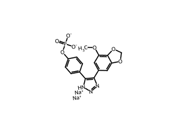 COc1cc(-c2nn[nH]c2-c2ccc(OP(=O)([O-])[O-])cc2)cc2c1OCO2.[Na+].[Na+]